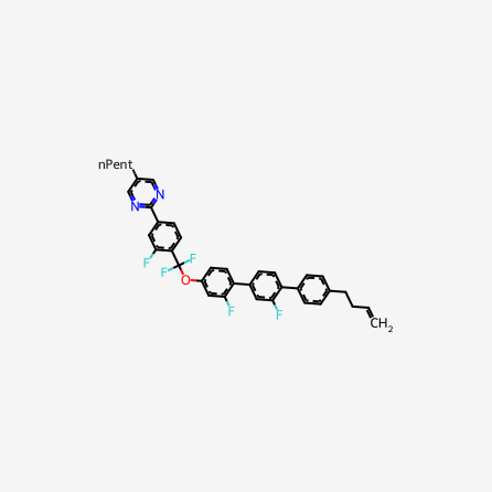 C=CCCc1ccc(-c2ccc(-c3ccc(OC(F)(F)c4ccc(-c5ncc(CCCCC)cn5)cc4F)cc3F)cc2F)cc1